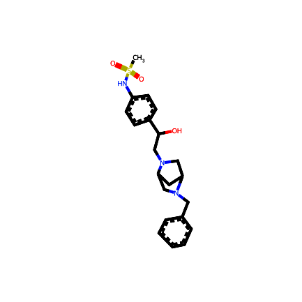 CS(=O)(=O)Nc1ccc(C(O)CN2CC3CC2CN3Cc2ccccc2)cc1